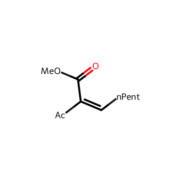 CCCCCC=C(C(C)=O)C(=O)OC